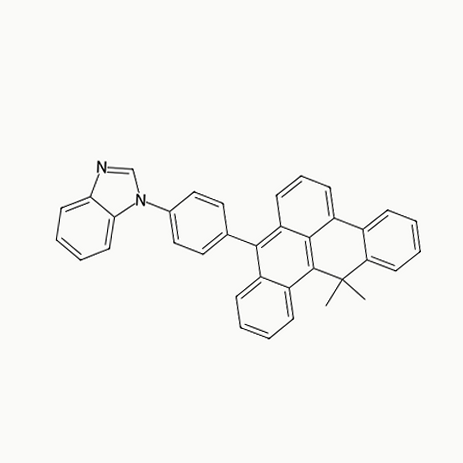 CC1(C)c2ccccc2-c2cccc3c(-c4ccc(-n5cnc6ccccc65)cc4)c4ccccc4c1c23